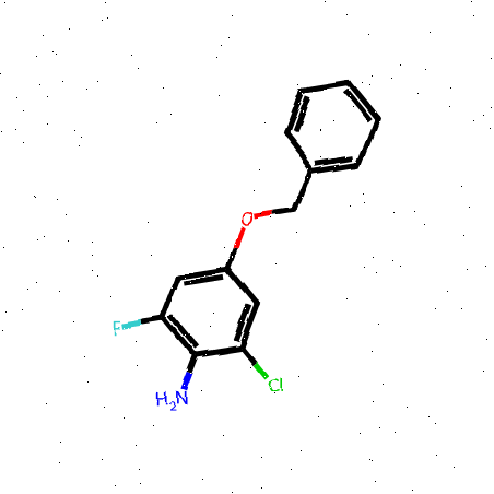 Nc1c(F)cc(OCc2ccccc2)cc1Cl